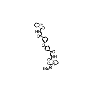 CC(C)(C)OC(=O)N1CCC[C@H]1C(=O)NCC(=O)c1ccc(Oc2cccc(C(=O)CNC(=O)[C@@H]3CCCN3)c2)cc1